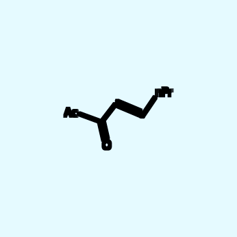 CCC/C=C/C(=O)C(C)=O